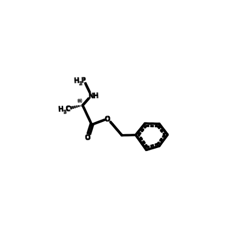 C[C@H](NP)C(=O)OCc1ccccc1